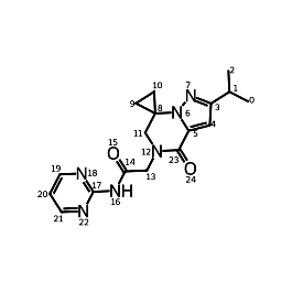 CC(C)c1cc2n(n1)C1(CC1)CN(CC(=O)Nc1ncccn1)C2=O